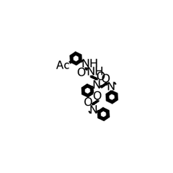 CC(=O)c1cccc(NC(=O)NCC(=O)N(CC(=O)N(C)c2ccccc2)c2ccccc2OCC(=O)N(C)c2ccccc2)c1